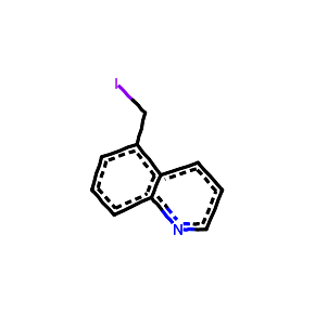 ICc1cccc2ncccc12